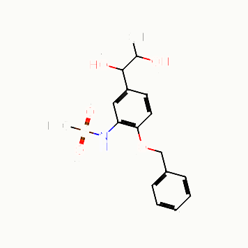 CC(O)C(O)c1ccc(OCc2ccccc2)c(NS(C)(=O)=O)c1